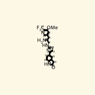 COc1cc(C[C@H](N)CNc2ncc(-c3ccc4c(c3)CC(=O)N4)s2)cnc1C(F)(F)F